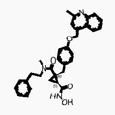 Cc1cc(COc2ccc(C[C@]3(C(=O)N(C)CCc4ccccc4)C[C@@H]3C(=O)NO)cc2)c2ccccc2n1